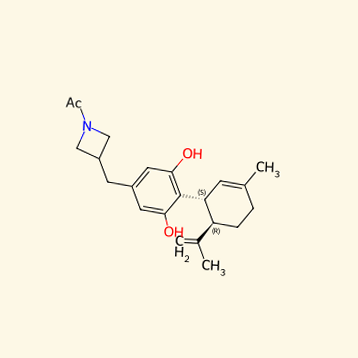 C=C(C)[C@@H]1CCC(C)=C[C@H]1c1c(O)cc(CC2CN(C(C)=O)C2)cc1O